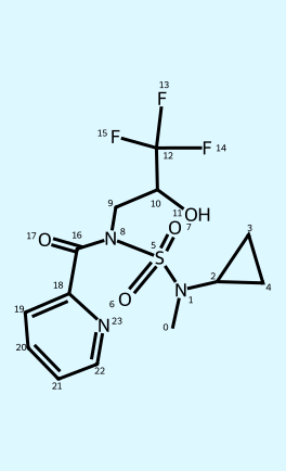 CN(C1CC1)S(=O)(=O)N(CC(O)C(F)(F)F)C(=O)c1ccccn1